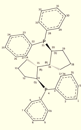 c1ccc(P(c2ccccc2)[C@H]2CCC[C@@H]2[C@H]2CCC[C@@H]2P(c2ccccc2)c2ccccc2)cc1